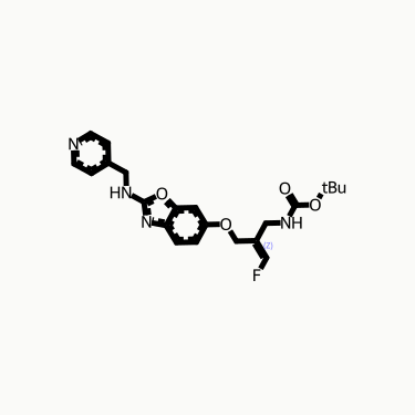 CC(C)(C)OC(=O)NC/C(=C/F)COc1ccc2nc(NCc3ccncc3)oc2c1